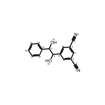 N#Cc1cc(C#N)cc(C(O)C(O)c2ccccc2)c1